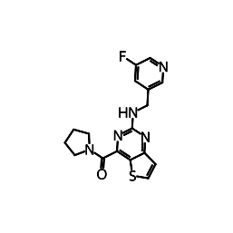 O=C(c1nc(NCc2cncc(F)c2)nc2ccsc12)N1CCCC1